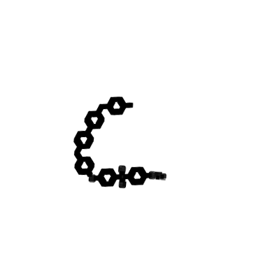 COc1ccc(S(=O)(=O)c2ccc(Oc3ccc(Cc4ccc(-c5ccc(Cc6ccc(C)cc6)cc5)cc4)cc3)cc2)cc1